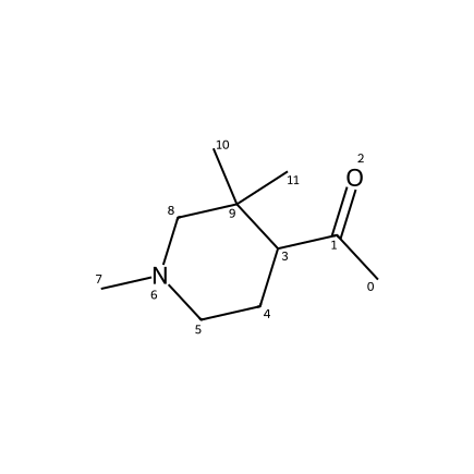 CC(=O)C1CCN(C)CC1(C)C